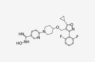 N=C(NO)c1ccc(N2CCC(OCc3c(-c4c(F)cccc4F)noc3C3CC3)CC2)nc1